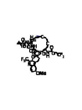 COc1ccc2nc(C(F)(F)F)c3c(c2c1)CC[C@]1(C[C@H]2C(=O)N[C@]4(C(=O)NS(=O)(=O)C5(C)CC5)C[C@H]4/C=C\CCCCC[C@H](NC(=O)OCC(F)(F)F)C(=O)N2C1)O3